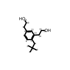 CC(C)(C)Cc1ccc(CCO)cc1CCO